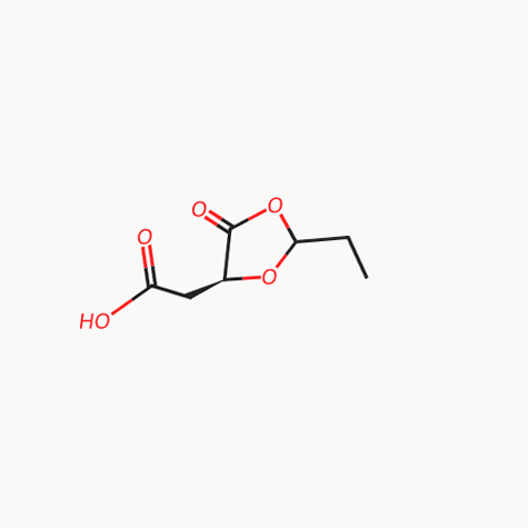 CCC1OC(=O)[C@H](CC(=O)O)O1